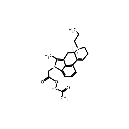 CCCN1CCC=C2c3cccc4c3c(c(C)n4CC(=O)ONC(C)=O)C[C@H]21